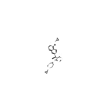 Nc1ncnc2c1c(-c1ccc3c(C(=O)NC4CC4)cccc3c1)cn2C1CCN(C2CC2)CC1